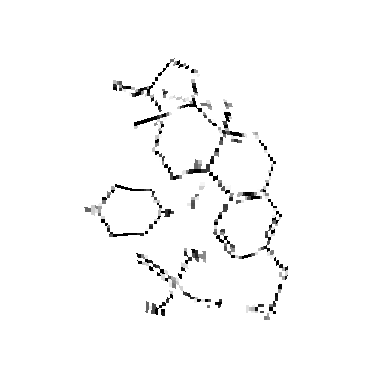 C1CNCCN1.C[C@]12CC[C@@H]3c4ccc(OS(=O)(=O)O)cc4CC[C@H]3[C@@H]1CCC2=O.O=P(O)(O)O